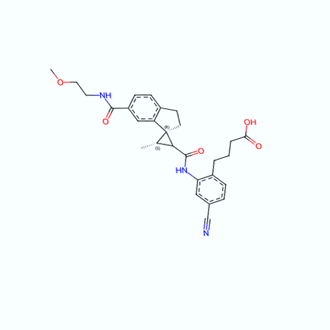 COCCNC(=O)c1ccc2c(c1)[C@@]1(CC2)C(C(=O)Nc2cc(C#N)ccc2CCCC(=O)O)[C@@H]1C